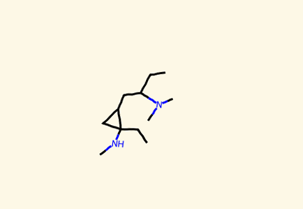 CCC(CC1CC1(CC)NC)N(C)C